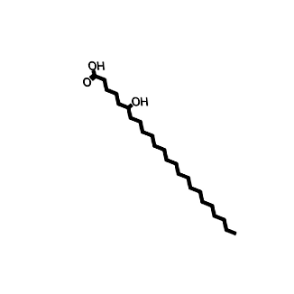 CCCCCCCCCCCCCCCCCCC(O)CCCCC(=O)O